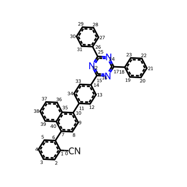 N#Cc1ccccc1-c1ccc(-c2ccc(-c3nc(-c4ccccc4)nc(-c4ccccc4)n3)cc2)c2ccccc12